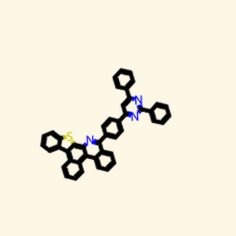 c1ccc(-c2cc(-c3ccc(-c4nc5c6sc7ccccc7c6c6ccccc6c5c5ccccc45)cc3)nc(-c3ccccc3)n2)cc1